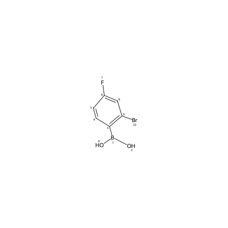 OB(O)c1ccc(F)cc1Br